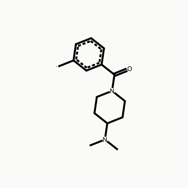 [CH2]c1cccc(C(=O)N2CCC(N(C)C)CC2)c1